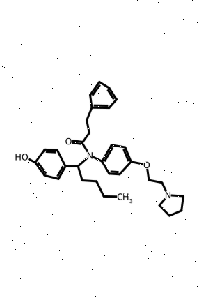 CCCCC(c1ccc(O)cc1)N(C(=O)CCc1ccccc1)c1ccc(OCCN2CCCC2)cc1